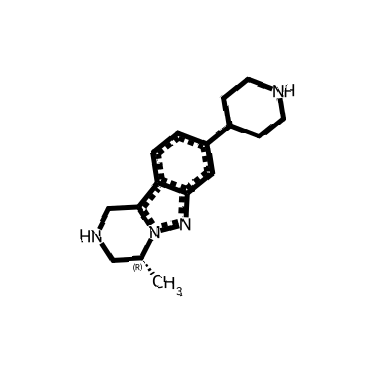 C[C@@H]1CNCc2c3ccc(C4CCNCC4)cc3nn21